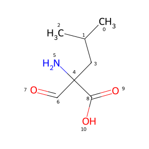 CC(C)CC(N)(C=O)C(=O)O